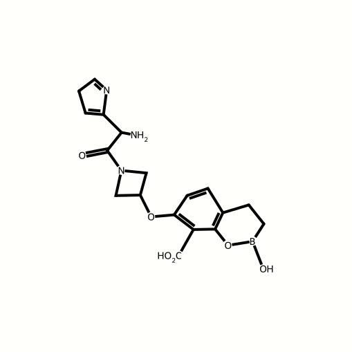 NC(C(=O)N1CC(Oc2ccc3c(c2C(=O)O)OB(O)CC3)C1)C1=CCC=N1